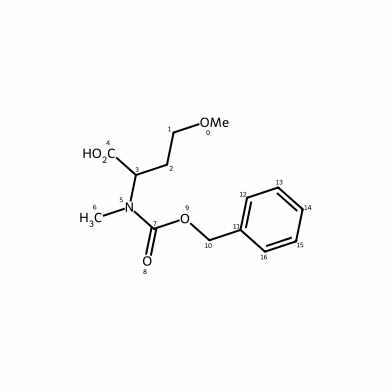 COCCC(C(=O)O)N(C)C(=O)OCc1ccccc1